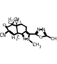 [C-]#[N+]C1=C[C@]2(C)c3nn(C)c(-c4nnc(C)o4)c3CC[C@H]2C(C)(C)C1=O